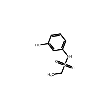 CCS(=O)(=O)Nc1[c]c(O)ccc1